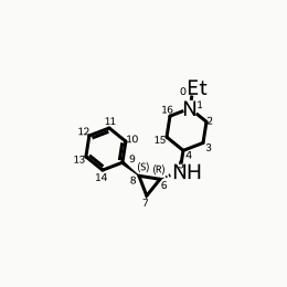 CCN1CCC(N[C@@H]2C[C@H]2c2ccccc2)CC1